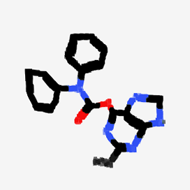 CC(=O)Nc1nc2c(c(OC(=O)N(c3ccccc3)c3ccccc3)n1)N=C[N]2